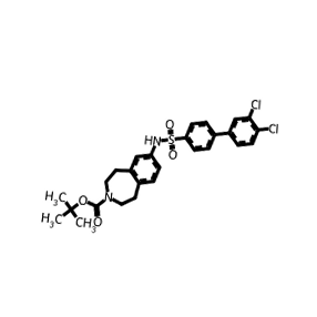 CC(C)(C)OC(=O)N1CCc2ccc(NS(=O)(=O)c3ccc(-c4ccc(Cl)c(Cl)c4)cc3)cc2CC1